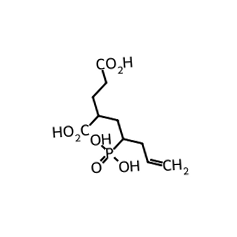 C=CCC(CC(CCC(=O)O)C(=O)O)P(=O)(O)O